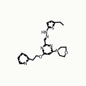 CCc1ccc(NN=Cc2nc(OCCc3ccccn3)cc(N3CCOCC3)n2)s1